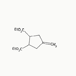 C=C1CC(C(=O)OCC)C(C(=O)OCC)C1